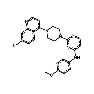 COc1ccc(Nc2ccnc(N3CCN(c4ccnc5cc(Cl)ccc45)CC3)n2)cc1